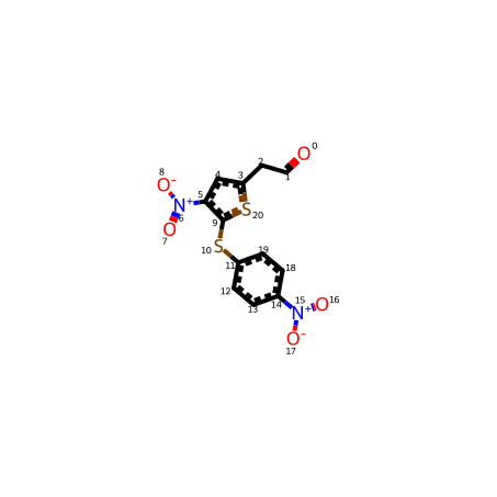 O=CCc1cc([N+](=O)[O-])c(Sc2ccc([N+](=O)[O-])cc2)s1